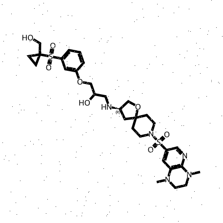 CN1CCN(C)c2ncc(S(=O)(=O)N3CCC4(CC3)C[C@@H](NCC(O)COc3cccc(S(=O)(=O)C5(CO)CC5)c3)CO4)cc21